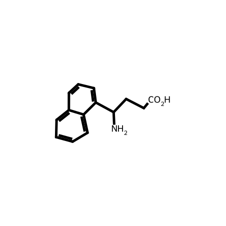 NC(CCC(=O)O)c1cccc2ccccc12